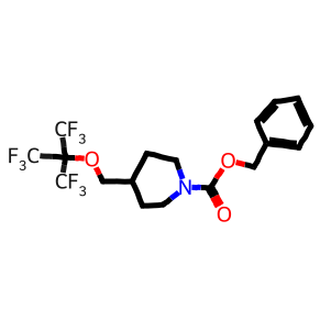 O=C(OCc1ccccc1)N1CCC(COC(C(F)(F)F)(C(F)(F)F)C(F)(F)F)CC1